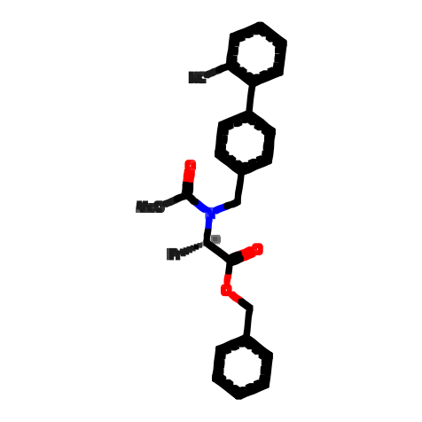 COC(=O)N(Cc1ccc(-c2ccccc2C#N)cc1)[C@H](C(=O)OCc1ccccc1)C(C)C